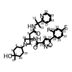 CC1(O)CCC(N2CC(CC(=O)NC(C)(C)c3ccccn3)(NC(=O)c3cc(-c4ccc(F)cc4F)on3)C2)CC1